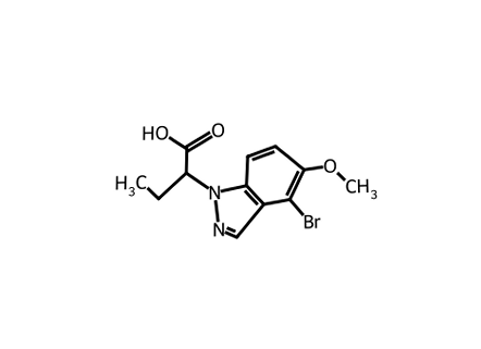 CCC(C(=O)O)n1ncc2c(Br)c(OC)ccc21